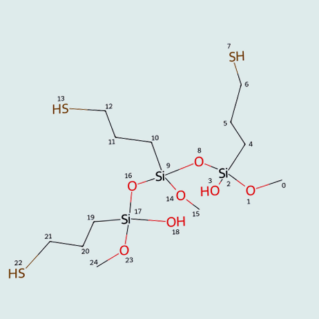 CO[Si](O)(CCCS)O[Si](CCCS)(OC)O[Si](O)(CCCS)OC